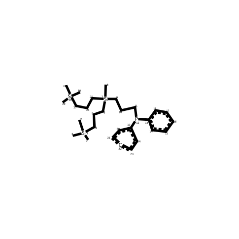 C[Si](C)(C)CCC[Si](C)(CCCP(c1ccccc1)c1ccccc1)CCC[Si](C)(C)C